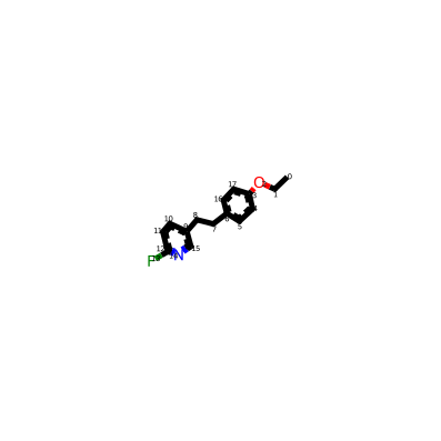 CCOc1ccc(CCc2ccc(F)nc2)cc1